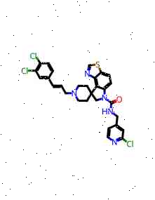 O=C(NCc1ccnc(Cl)c1)N1CC2(CCN(CC=Cc3ccc(Cl)c(Cl)c3)CC2)c2c1ccc1scnc21